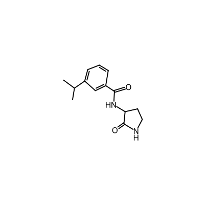 CC(C)c1cccc(C(=O)NC2CCNC2=O)c1